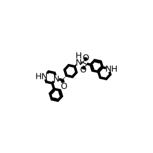 O=C([C@H]1CC[C@H](NS(=O)(=O)c2ccc3c(c2)CCCN3)CC1)N1CCNCC1c1ccccc1